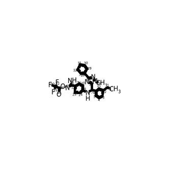 CCc1cccc(C(Nc2ccc(C(N)=NOC(=O)C(F)(F)F)cc2)c2nc(-c3ccccc3)nn2C)c1